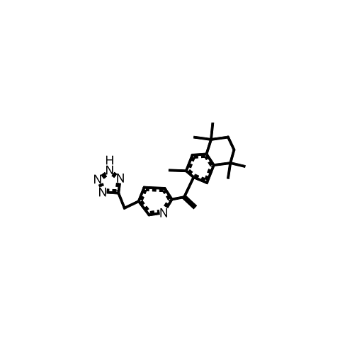 C=C(c1ccc(Cc2nn[nH]n2)cn1)c1cc2c(cc1C)C(C)(C)CCC2(C)C